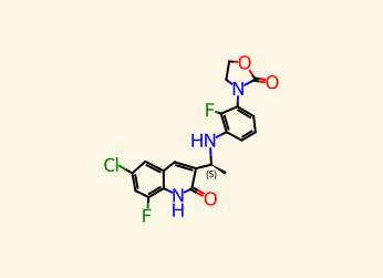 C[C@H](Nc1cccc(N2CCOC2=O)c1F)c1cc2cc(Cl)cc(F)c2[nH]c1=O